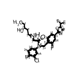 CC[C@@H](O)CCNCC(=O)N(Cc1ccc(-c2nnc(C(F)F)o2)cc1F)c1ccc(F)c(Cl)c1